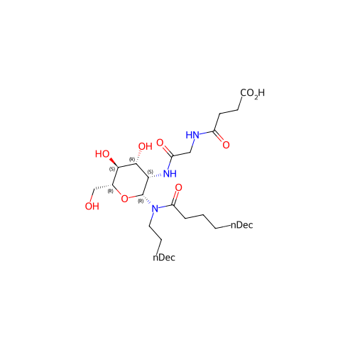 CCCCCCCCCCCCCC(=O)N(CCCCCCCCCCCC)[C@@H]1O[C@H](CO)[C@@H](O)[C@H](O)[C@@H]1NC(=O)CNC(=O)CCC(=O)O